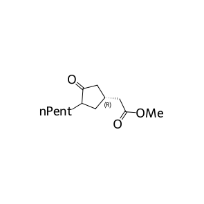 CCCCCC1C[C@@H](CC(=O)OC)CC1=O